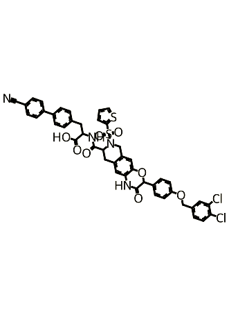 N#Cc1ccc(-c2ccc(CC(NC(=O)C3Cc4cc5c(cc4CN3S(=O)(=O)c3cccs3)OC(c3ccc(OCc4ccc(Cl)c(Cl)c4)cc3)C(=O)N5)C(=O)O)cc2)cc1